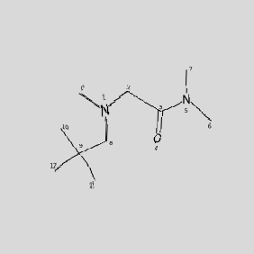 CN(CC(=O)N(C)C)CC(C)(C)C